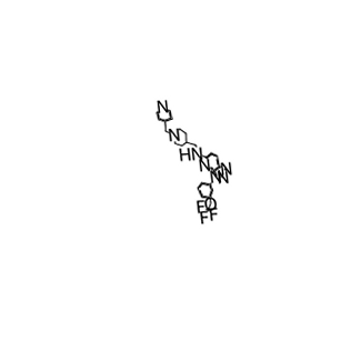 FC(F)(F)Oc1cccc(-n2nnc3ccc(NCC4CCN(Cc5ccncc5)CC4)nc32)c1